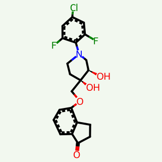 O=C1CCc2c(OC[C@]3(O)CCN(c4c(F)cc(Cl)cc4F)C[C@H]3O)cccc21